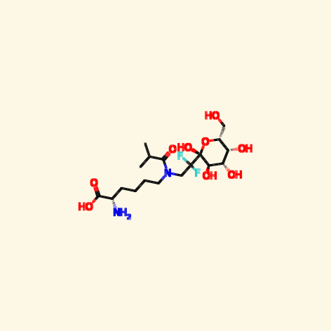 CC(C)C(=O)N(CCCC[C@H](N)C(=O)O)CC(F)(F)[C@]1(O)O[C@H](CO)[C@H](O)[C@H](O)[C@H]1O